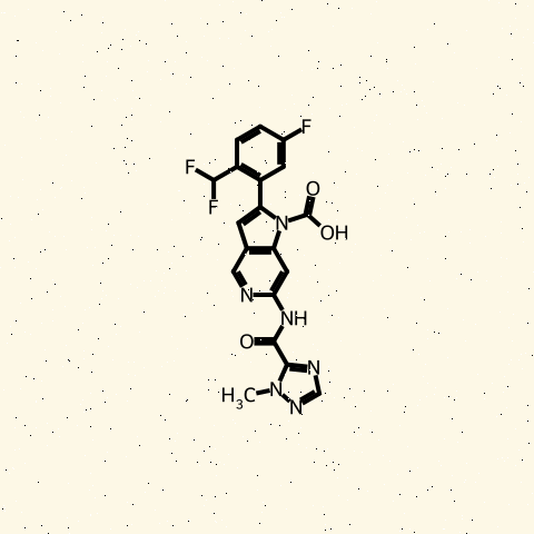 Cn1ncnc1C(=O)Nc1cc2c(cn1)cc(-c1cc(F)ccc1C(F)F)n2C(=O)O